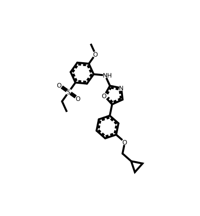 CCS(=O)(=O)c1ccc(OC)c(Nc2ncc(-c3cccc(OCC4CC4)c3)o2)c1